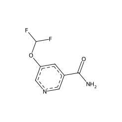 NC(=O)c1cncc(OC(F)F)c1